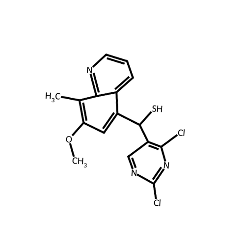 COc1cc(C(S)c2cnc(Cl)nc2Cl)c2cccnc2c1C